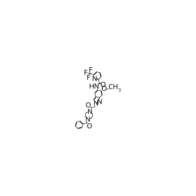 CCOc1cc2nn(CC(=O)N3CCN(C(=O)c4ccccc4)CC3)cc2cc1NC(=O)c1cccc(C(F)(F)F)n1